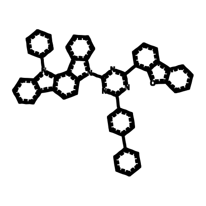 c1ccc(-c2ccc(-c3nc(-c4cccc5c4oc4ccccc45)nc(-n4c5ccccc5c5c4ccc4c6ccccc6n(-c6ccccc6)c45)n3)cc2)cc1